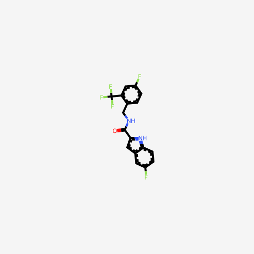 O=C(NCc1ccc(F)cc1C(F)(F)F)c1cc2cc(F)ccc2[nH]1